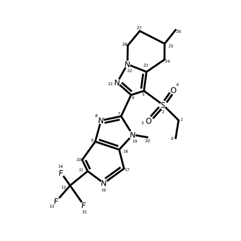 CCS(=O)(=O)c1c(-c2nc3cc(C(F)(F)F)ncc3n2C)nn2c1CC(C)CC2